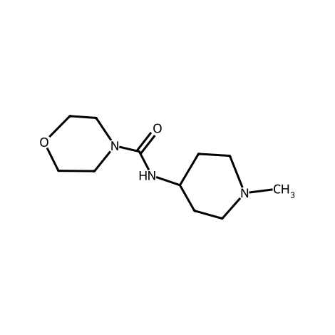 CN1CCC(NC(=O)N2CCOCC2)CC1